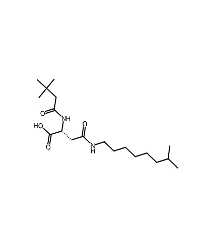 CC(C)CCCCCCNC(=O)C[C@@H](NC(=O)CC(C)(C)C)C(=O)O